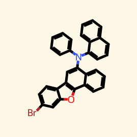 Brc1ccc2c(c1)oc1c3ccccc3c(N(c3ccccc3)c3cccc4ccccc34)cc21